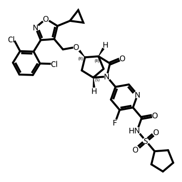 O=C(NS(=O)(=O)C1CCCC1)c1ncc(N2C(=O)[C@@H]3C[C@H]2C[C@H]3OCc2c(-c3c(Cl)cccc3Cl)noc2C2CC2)cc1F